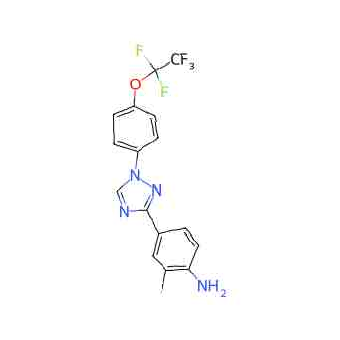 Cc1cc(-c2ncn(-c3ccc(OC(F)(F)C(F)(F)F)cc3)n2)ccc1N